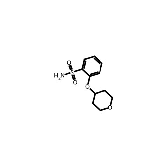 NS(=O)(=O)c1ccccc1OC1CCOCC1